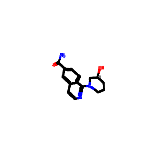 NC(=O)c1ccc2c(N3CCC[C@H](O)C3)nccc2c1